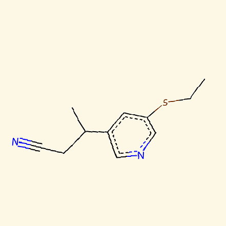 CCSc1cncc(C(C)CC#N)c1